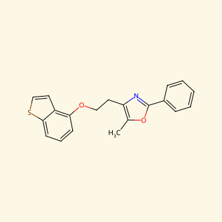 Cc1oc(-c2ccccc2)nc1CCOc1cccc2sccc12